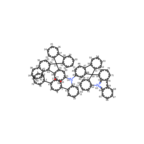 c1ccc(-c2ccc(-c3ccccc3N(c3ccc4c(c3)C3(c5ccccc5-c5ccccc53)c3ccc5ccccc5c3-4)c3ccc4c(c3)C3(c5ccccc5-4)c4ccccc4-n4c5ccccc5c5cccc3c54)cc2)cc1